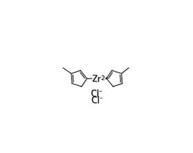 CC1=CC[C]([Zr+2][C]2=CC(C)=CC2)=C1.[Cl-].[Cl-]